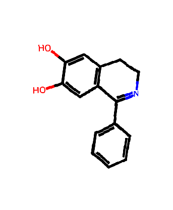 Oc1cc2c(cc1O)C(c1ccccc1)=NCC2